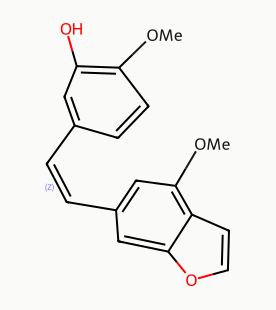 COc1ccc(/C=C\c2cc(OC)c3ccoc3c2)cc1O